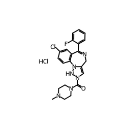 CN1CCN(C(=O)N2C=C3CN=C(c4ccccc4F)c4cc(Cl)ccc4N3N2)CC1.Cl